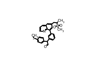 CSc1ccc(C(C=O)c2cccc(-c3cc(CC(C)S(C)(=O)=O)cc4cccnc34)c2)cc1